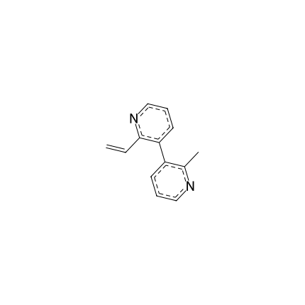 C=Cc1ncccc1-c1cccnc1C